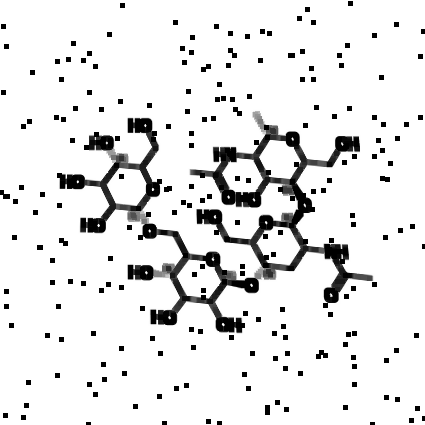 CC(=O)NC1C[C@H](O[C@@H]2OC(CO[C@H]3OC(CO)[C@@H](O)C(O)C3O)[C@@H](O)C(O)C2O)C(CO)O[C@H]1O[C@@H]1C(CO)O[C@@H](C)C(NC(C)=O)C1O